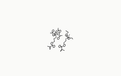 C=C(C)C(=O)OCCC[Si](C)(OCC)OCC.C=C(C)C(=O)OCCC[Si](OC(C)=O)(OC(C)=O)OC(C)=O